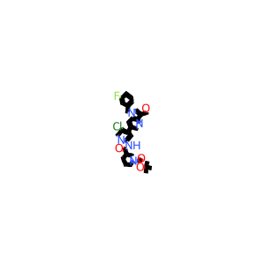 CC(C)(C)OC(=O)N1CCCC(C(=O)Nc2cc(-c3cnc4c(C=O)cn(Cc5cccc(F)c5)c4c3)c(Cl)cn2)C1